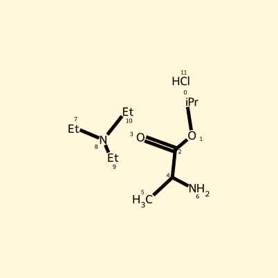 CC(C)OC(=O)C(C)N.CCN(CC)CC.Cl